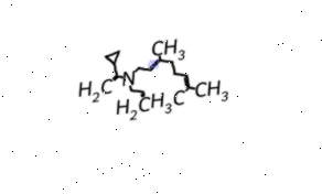 C=CCN(C/C=C(\C)CCC=C(C)C)C(=C)C1CC1